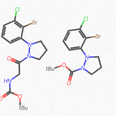 CC(C)(C)OC(=O)N1CCCN1c1cccc(Cl)c1Br.CC(C)(C)OC(=O)NCC(=O)N1CCCN1c1cccc(Cl)c1Br